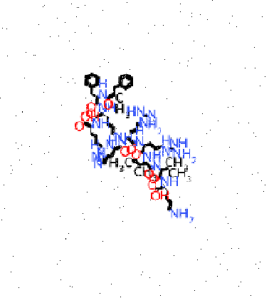 CCC(C)[C@@H](NC(=O)C(CCCNC(=N)N)NC(=O)[C@@H](CCCNC(=N)N)NC(=O)C(N)Cc1cnnn1CCCC[C@@H](NC(=O)[C@@H](CCCCN)NC(=O)[C@@H](Cc1ccccc1)NC(=O)[C@H](C)Cc1ccccc1)C(=O)O)C(=O)N[C@@H](C(=O)N[C@H](CCCCN)C(=O)O)C(C)C